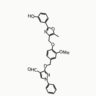 COc1cc(COc2nn(-c3ccccc3)cc2C=O)ccc1OCc1nc(-c2cccc(O)c2)oc1C